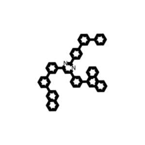 c1ccc(-c2cccc(-c3ccc(-c4nc(-c5cccc(-c6cccc(-c7ccc8ccccc8c7)c6)c5)cc(-c5cccc(-c6cc7ccccc7c7ccccc67)c5)n4)cc3)c2)cc1